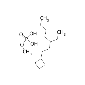 CCCCC(CC)CCC1CCC1.COP(=O)(O)O